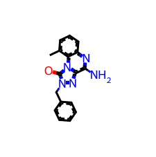 Cc1cccc2nc(N)c3nn(Cc4ccccc4)c(=O)n3c12